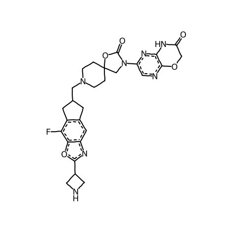 O=C1COc2ncc(N3CC4(CCN(CC5Cc6cc7nc(C8CNC8)oc7c(F)c6C5)CC4)OC3=O)nc2N1